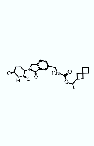 CC(OC(=O)NCc1ccc2c(c1)C(=O)N(C1CCC(=O)NC1=O)C2)C1CC2(CCC2)C1